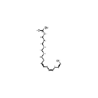 CC/C=C\C/C=C\C/C=C\CCCCCCCCOC(=O)C(C)(C)C